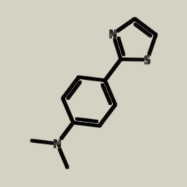 CN(C)c1ccc(-c2nccs2)cc1